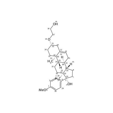 COc1ccc([C@]2(O)CC[C@H]3[C@@H]4CC=C5C[C@@H](OCCO)CC[C@]5(C)[C@H]4CC[C@@]32C)cc1